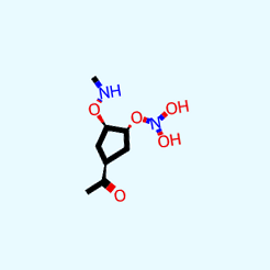 CNO[C@@H]1C[C@H](C(C)=O)C[C@H]1ON(O)O